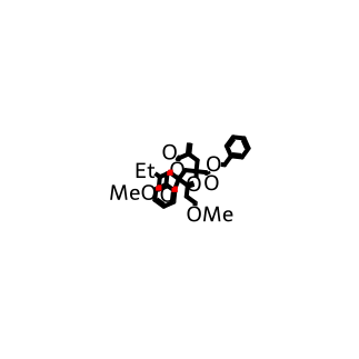 C=C(CC(C)(CC(C)(CC(CC)C(=O)OC)C(=O)CCOC)C(=O)OCc1ccccc1)C(=O)OCc1ccccc1